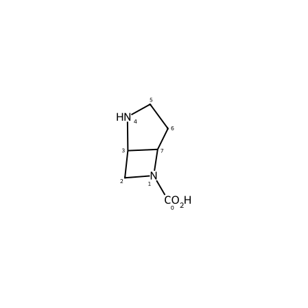 O=C(O)N1CC2NCCC21